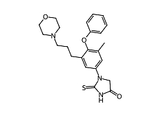 Cc1cc(N2CC(=O)NC2=S)cc(CCCN2CCOCC2)c1Oc1ccccc1